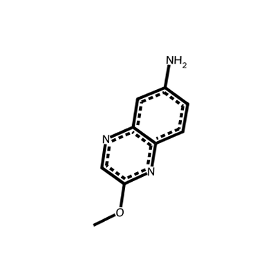 COc1cnc2cc(N)ccc2n1